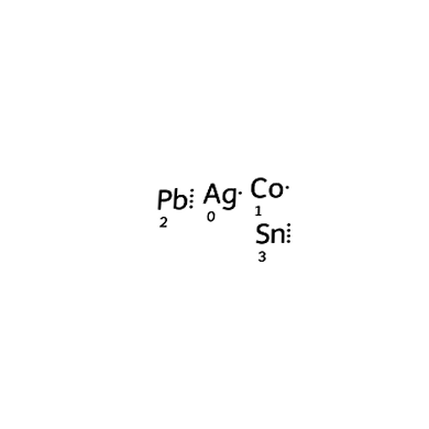 [Ag].[Co].[Pb].[Sn]